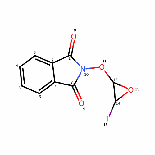 O=C1c2ccccc2C(=O)N1OC1OC1I